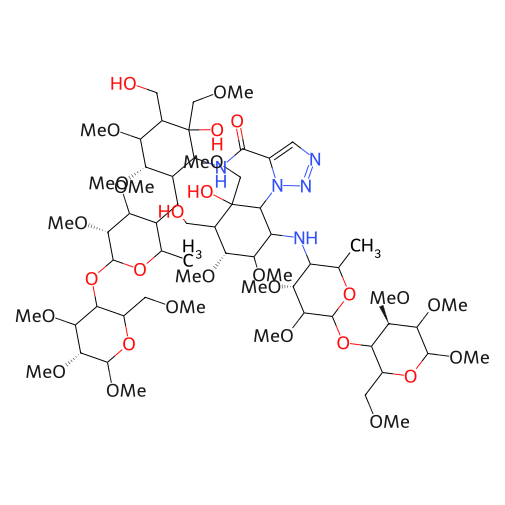 COCC1OC(OC)[C@H](OC)C(OC)C1OC1OC(C)C(CC2C(NC(=O)c3cnnn3C3C(NC4C(C)OC(OC5C(COC)OC(OC)C(OC)[C@@H]5OC)C(OC)[C@@H]4OC)C(OC)[C@H](OC)C(CO)C3(O)COC)C(O)(COC)C(CO)C(OC)[C@H]2OC)C(OC)[C@H]1OC